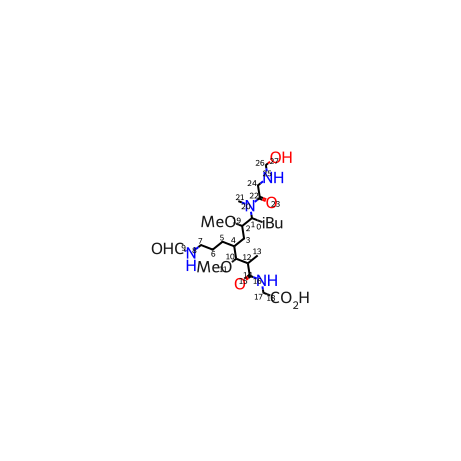 CCC(C)C(C(CC(CCCNC=O)C(OC)C(C)C(=O)NCC(=O)O)OC)N(C)C(=O)CNCO